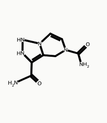 NC(=O)C1=C2CN(C(N)=O)C=CN2NN1